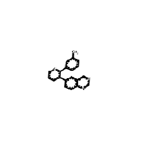 Cc1cccc(-c2ncccc2-c2ccc3ncncc3c2)c1